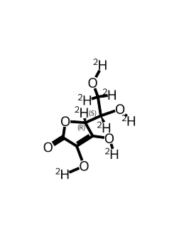 [2H]OC1=C(O[2H])[C@@]([2H])([C@@]([2H])(O[2H])C([2H])([2H])O[2H])OC1=O